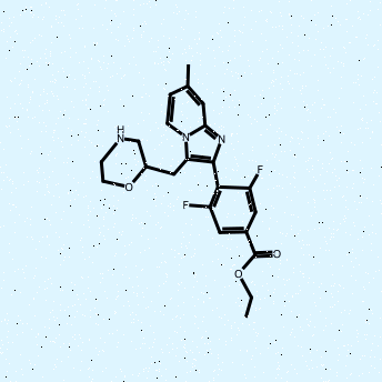 CCOC(=O)c1cc(F)c(-c2nc3cc(C)ccn3c2CC2CNCCO2)c(F)c1